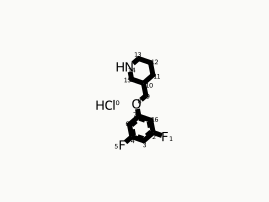 Cl.Fc1cc(F)cc(OCC2CCCNC2)c1